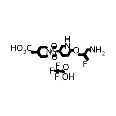 NC/C(=C/F)COC1CCC(S(=O)(=O)N2CCC(CC(=O)O)CC2)CN1.O=C(O)C(F)(F)F